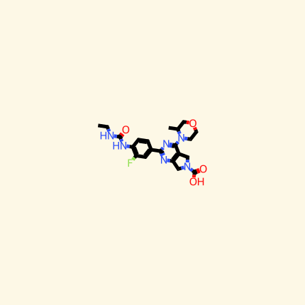 CCNC(=O)Nc1ccc(-c2nc3c(c(N4CCOCC4C)n2)CN(C(=O)O)C3)cc1F